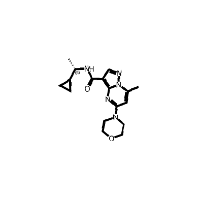 Cc1cc(N2CCOCC2)nc2c(C(=O)N[C@@H](C)C3CC3)cnn12